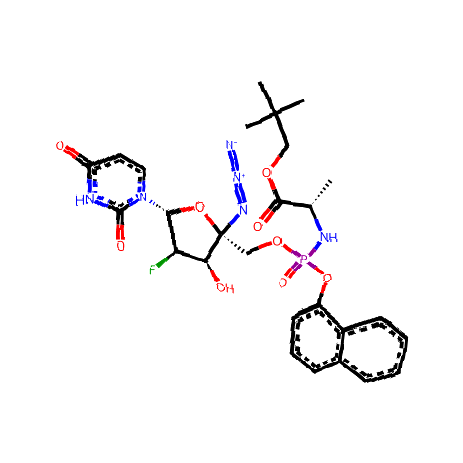 C[C@H](NP(=O)(OC[C@@]1(N=[N+]=[N-])O[C@@H](n2ccc(=O)[nH]c2=O)[C@H](F)[C@@H]1O)Oc1cccc2ccccc12)C(=O)OCC(C)(C)C